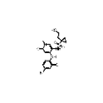 Cn1cc(NS(=O)(=O)C2(CCO)CC2)c(Nc2ccc(Br)cc2Cl)cc1=O